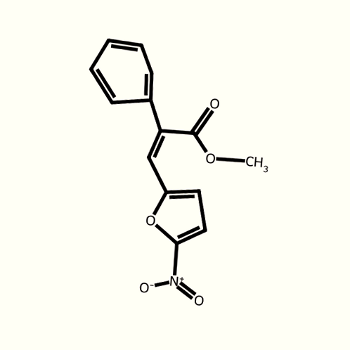 COC(=O)C(=Cc1ccc([N+](=O)[O-])o1)c1ccccc1